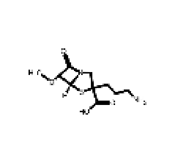 CO[C@H]1C(=O)N2CC(CCCN)(C(=O)O)S[C@H]12